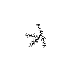 C[N+](C)(C)CCCNC(=O)CCN(CCC(=O)NCCC[N+](C)(C)C)CCN(CCC(=O)NCCC[N+](C)(C)C)CCC(=O)NCCC[N+](C)(C)C